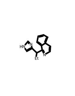 CCC(c1c[nH]cn1)c1nccc2ccccc12